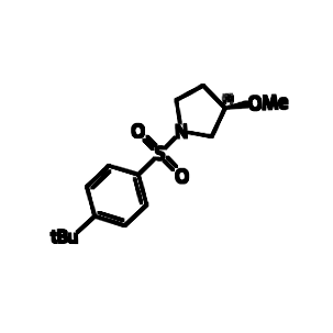 CO[C@@H]1CCN(S(=O)(=O)c2ccc(C(C)(C)C)cc2)C1